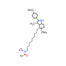 CCC(=O)N(CCCCCCCCCCc1c(OC)ccc2[nH]c(-c3ccc(OC)cc3)c(C)c12)C1CC1